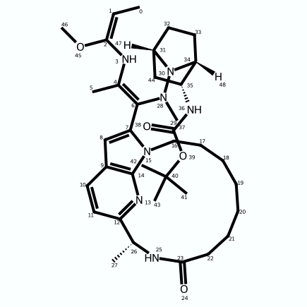 C/C=C(\N/C(C)=C(/c1cc2ccc3nc2n1CCCCCCCC(=O)N[C@@H]3C)N(C)N1[C@H]2CC[C@@H]1[C@H](NC(=O)OC(C)(C)C)C2)OC